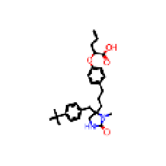 CCCC(Oc1ccc(CCCC2(Cc3ccc(C(C)(C)C)cc3)CNC(=O)N2C)cc1)C(=O)O